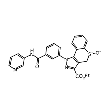 CCOC(=O)c1nn(-c2cccc(C(=O)Nc3cccnc3)c2)c2c1C[S+]([O-])c1ccccc1-2